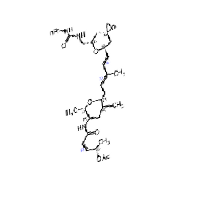 CCCNC(=O)NC[C@@H]1C[C@@]2(CO2)C[C@@H](/C=C/C(C)=C/C[C@@H]2O[C@H](C)[C@H](NC(=O)/C=C\[C@H](C)OC(C)=O)C[C@@H]2C)O1